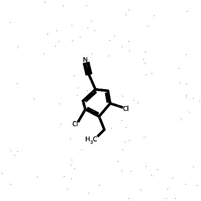 CCc1c(Cl)cc(C#N)cc1Cl